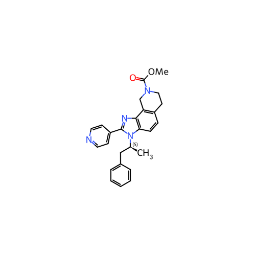 COC(=O)N1CCc2ccc3c(nc(-c4ccncc4)n3[C@@H](C)Cc3ccccc3)c2C1